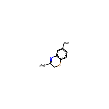 COc1ccc2c(c1)N=C(SC)CS2